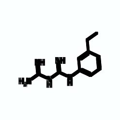 CCc1cccc(NC(=N)NC(=N)N)c1